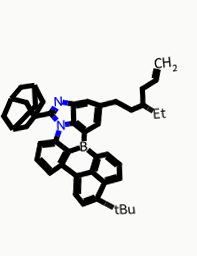 C=CCC(CC)CCc1cc2c3c(c1)nc(C14CC5CC(CC(C5)C1)C4)n3-c1cccc3c1B2c1cccc2c(C(C)(C)C)ccc-3c12